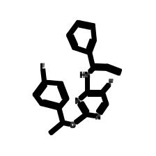 C=C=C(Nc1nc(OC(C)c2ccc(F)cc2)ncc1F)c1ccccc1